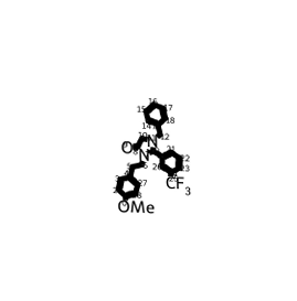 COc1ccc(CCN2C(=O)CN(Cc3ccccc3)C2c2cccc(C(F)(F)F)c2)cc1